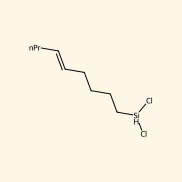 CCCC=CCCCC[SiH](Cl)Cl